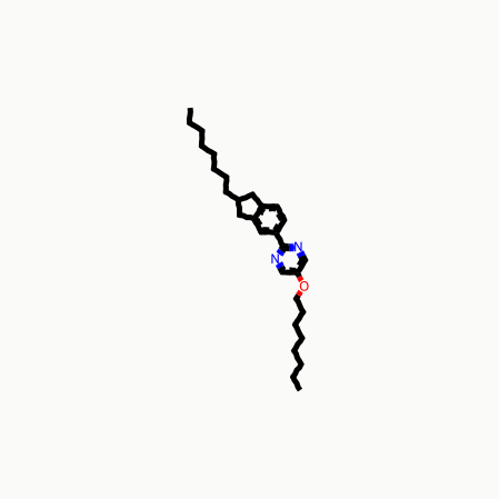 CCCCCCCCOc1cnc(-c2ccc3c(c2)CC(CCCCCCCC)C3)nc1